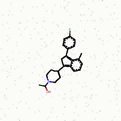 Cc1cccc2c1=C(c1ccc(F)cc1)CC=2C1CCN(C(C)O)CC1